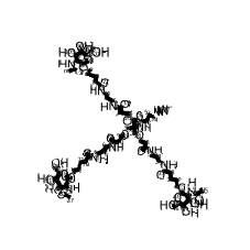 CC(=O)N[C@H]1[C@H](OCCCCC(=O)NCCCNC(=O)CCOCC(COCCC(=O)NCCCNC(=O)CCCCO[C@@H]2O[C@H](CO)[C@H](O)[C@H](O)[C@H]2NC(C)=O)(COCCC(=O)NCCCNC(=O)CCCCO[C@@H]2O[C@H](CO)[C@H](O)[C@H](O)[C@H]2NC(C)=O)NC(=O)CCCN=[N+]=[N-])O[C@H](CO)[C@H](O)[C@@H]1O